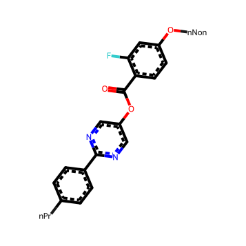 CCCCCCCCCOc1ccc(C(=O)Oc2cnc(-c3ccc(CCC)cc3)nc2)c(F)c1